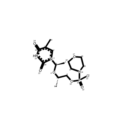 Cc1cn([C@@H](C)O[C@@H](C)COP(=O)(Cl)N2CCOCC2)c(=O)[nH]c1=O